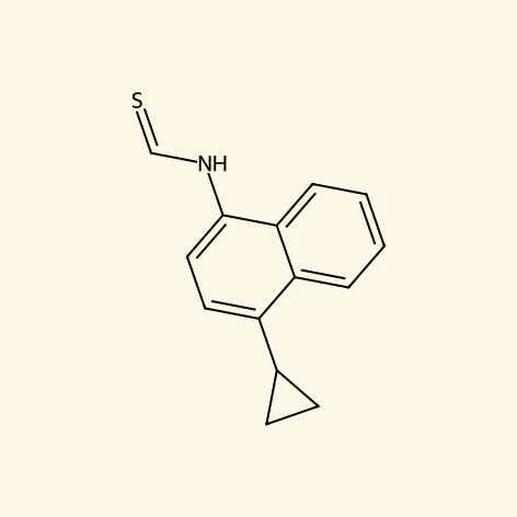 S=CNc1ccc(C2CC2)c2ccccc12